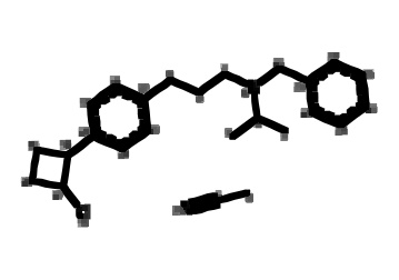 CC#N.CC(C)N(CCCc1ccc(C2CCC2Cl)cc1)Cc1ccccc1